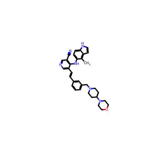 Cc1c(Nc2c(C#N)cncc2C=Cc2cccc(CN3CCC(N4CCOCC4)CC3)c2)ccc2[nH]ccc12